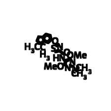 COc1nc(N(C)C)nc(OC)c1NC(=O)c1csc(Oc2ccc3c(c2)C(C)(C)CC3)n1